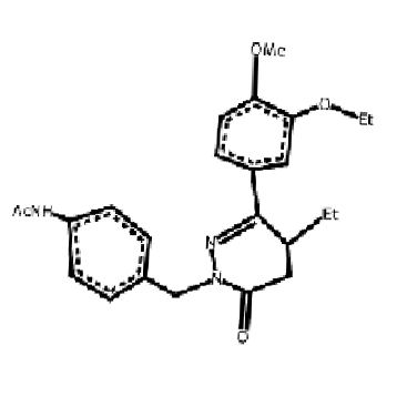 CCOc1cc(C2=NN(Cc3ccc(NC(C)=O)cc3)C(=O)CC2CC)ccc1OC